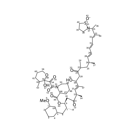 COC1CCCC(C[C@@H](C)[C@H](CC(=O)[C@H](C)/C=C(\C)C(O)CC(=O)C(C)C[C@H](C)/C=C/C=C/C=C(\C)C(C)N2CCC[S+]2[O-])OC(=O)C2CCCCN2C(=O)C(=O)C2(O)OCCCC2C)C1